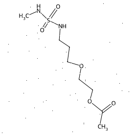 CNS(=O)(=O)NCCCOCCOC(C)=O